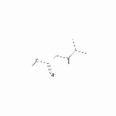 COC(=N)CNC(C)C